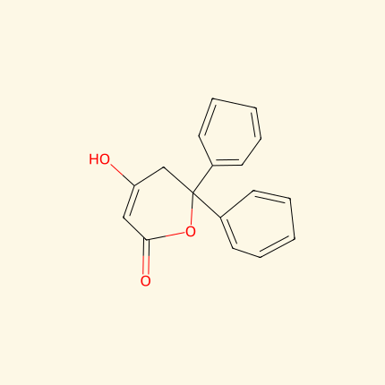 O=C1C=C(O)CC(c2ccccc2)(c2ccccc2)O1